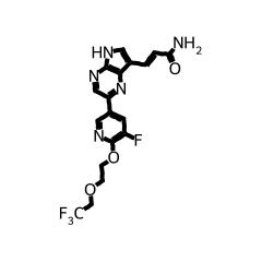 NC(=O)C=Cc1c[nH]c2ncc(-c3cnc(OCCOCC(F)(F)F)c(F)c3)nc12